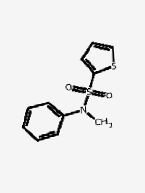 CN(c1ccccc1)S(=O)(=O)c1cccs1